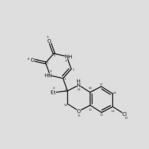 CCC1(c2c[nH]c(=O)c(=O)[nH]2)COc2cc(Cl)ccc2N1